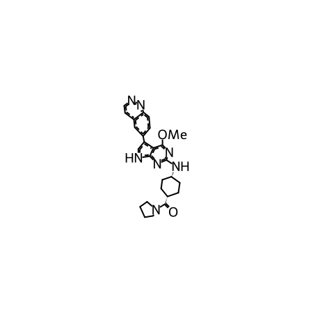 COc1nc(N[C@H]2CC[C@@H](C(=O)N3CCCC3)CC2)nc2[nH]cc(-c3ccc4nnccc4c3)c12